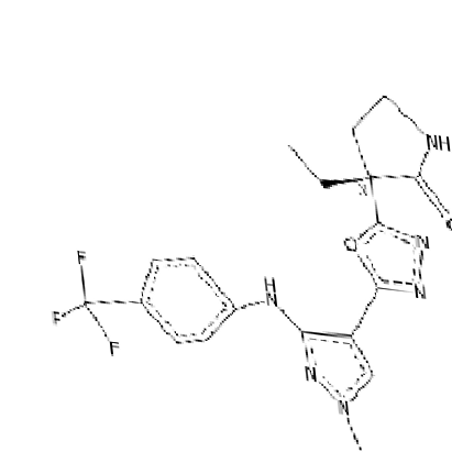 CC[C@@]1(c2nnc(-c3cn(C)nc3Nc3ccc(C(F)(F)F)cc3)o2)CCNC1=O